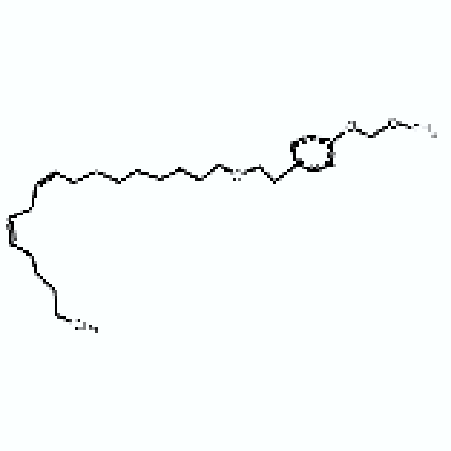 CCCCC/C=C\C/C=C\CCCCCCCCOCCc1ccc(OCOC)cc1